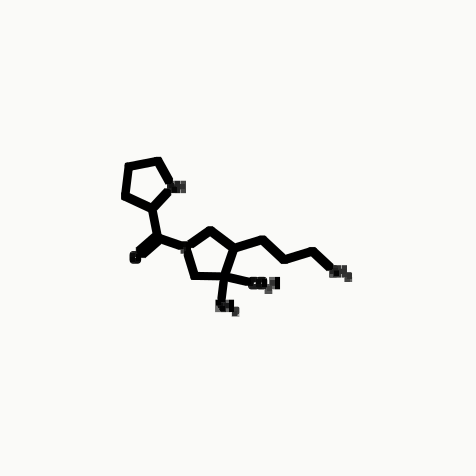 BCCCC1CN(C(=O)C2CCCN2)CC1(N)C(=O)O